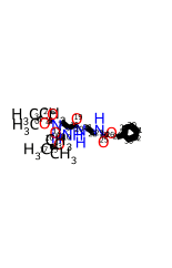 CC(C)(C)OC(=O)NCC(NC(=O)OC(C)(C)C)C(=O)NCCNC(=O)OCc1ccccc1